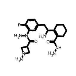 NNC(=O)C1=C(C(N)Cc2ccc(F)c(N(N)C(=O)C3CN(N)C3)c2)CCCC1